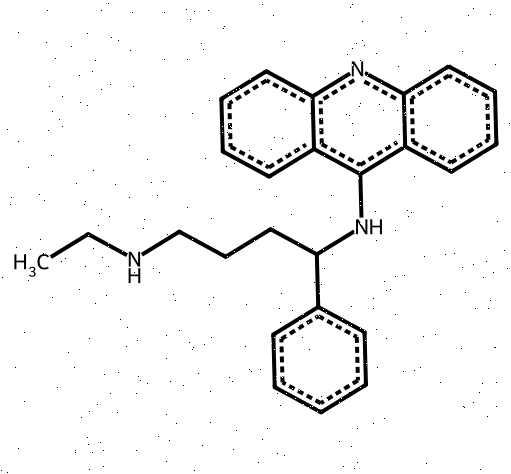 CCNCCCC(Nc1c2ccccc2nc2ccccc12)c1ccccc1